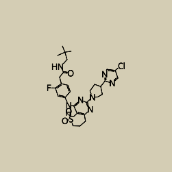 CC(C)(C)CNC(=O)Cc1ccc(Nc2nc(N3CCC(c4ncc(Cl)cn4)CC3)nc3c2S(=O)(=O)CCC3)cc1F